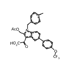 CC(=O)OCc1c(C(=O)C(=O)O)c2cc(-c3ccc(OC(F)(F)F)cc3)ccc2n1Cc1ccc(C)cc1